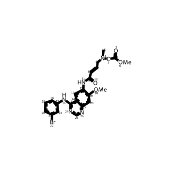 COC(=O)CN(C)CC=CC(=O)Nc1cc2c(Nc3cccc(Br)c3)ncnc2cc1OC